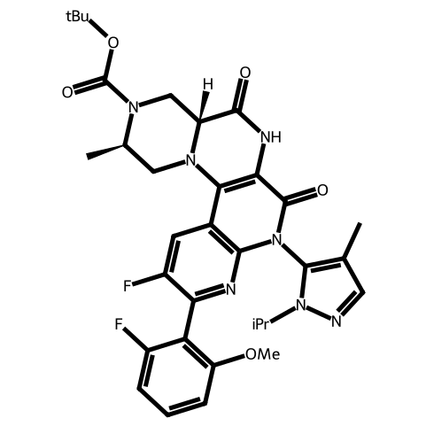 COc1cccc(F)c1-c1nc2c(cc1F)c1c(c(=O)n2-c2c(C)cnn2C(C)C)NC(=O)[C@H]2CN(C(=O)OC(C)(C)C)[C@H](C)CN12